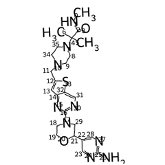 CNC(=O)C(C)(C)N1CCN(Cc2cc3nc(N4CCOC(c5cnc(N)nc5)C4)ncc3s2)CC1